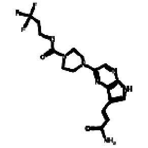 NC(=O)/C=C/c1c[nH]c2ncc(N3CCN(C(=O)OCCC(F)(F)F)CC3)nc12